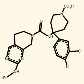 CC(C)Nc1ncc2c(n1)CN(C(=O)NC1(c3ccc(Cl)c(Cl)c3)CCN(C(=O)O)CC1)CC2